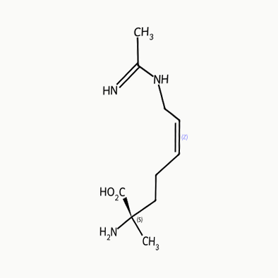 CC(=N)NC/C=C\CC[C@](C)(N)C(=O)O